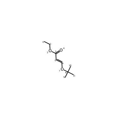 CCOC(=O)C=COC(C)(C)C